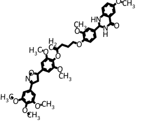 C=C(CCCOc1ccc(C2NC(=O)c3cc(OC)ccc3N2)cc1OC)Oc1c(OC)cc(C2CC(c3cc(OC)c(OC)c(OC)c3)=NO2)cc1OC